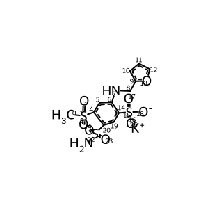 CS(=O)(=O)c1cc(NCc2ccco2)c(S(=O)(=O)[O-])cc1S(N)(=O)=O.[K+]